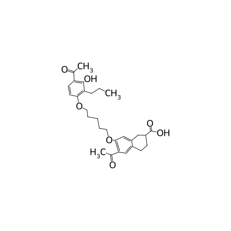 CCCc1c(OCCCCCOc2cc3c(cc2C(C)=O)CCC(C(=O)O)C3)ccc(C(C)=O)c1O